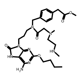 CCCCOc1nc(N)c2[nH]c(=O)n(CCCN(Cc3ccc(CC(=O)OC)cc3)C(=O)CN(C)CCNC)c2n1